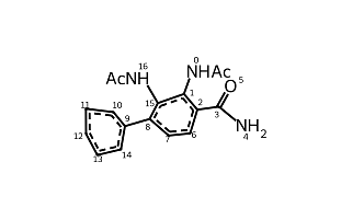 CC(=O)Nc1c(C(N)=O)ccc(-c2ccccc2)c1NC(C)=O